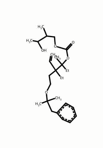 C=CC(CC)(CCOC(C)(C)Cc1ccccc1)C(C)(CC)OC(=O)OCC(C)C(C)O